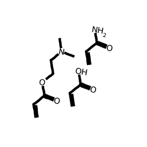 C=CC(=O)O.C=CC(=O)OCCN(C)C.C=CC(N)=O